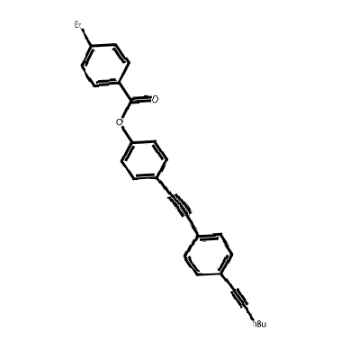 CCCCC#Cc1ccc(C#Cc2ccc(OC(=O)c3ccc(CC)cc3)cc2)cc1